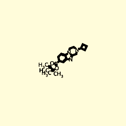 CC1(C)OB(C2C=c3nc4n(c3=CC2)CCN(C2CCC2)C4)OC1(C)C